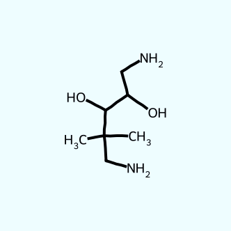 CC(C)(CN)C(O)C(O)CN